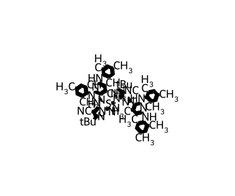 [C-]#[N+]c1c(C(C)(C)C)nn(-c2nnc(-n3nc(C(C)(C)C)c(C#N)c3N=Nc3c(C)cc(Nc4c(C)cc(C)cc4C)nc3Nc3c(C)cc(C)cc3C)s2)c1N=Nc1c(C)cc(Nc2c(C)cc(C)cc2C)nc1Nc1c(C)cc(C)cc1C